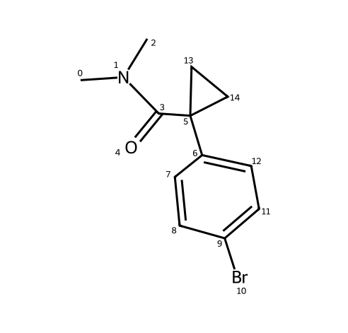 CN(C)C(=O)C1(c2ccc(Br)cc2)CC1